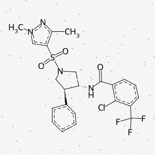 Cc1nn(C)cc1S(=O)(=O)N1C[C@H](NC(=O)c2cccc(C(F)(F)F)c2Cl)[C@@H](c2ccccc2)C1